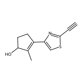 C#Cc1nc(C2=C(C)C(O)CC2)cs1